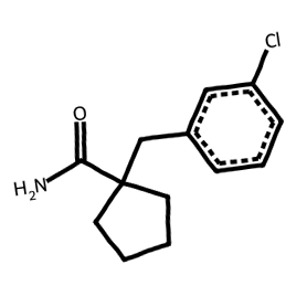 NC(=O)C1(Cc2cccc(Cl)c2)CCCC1